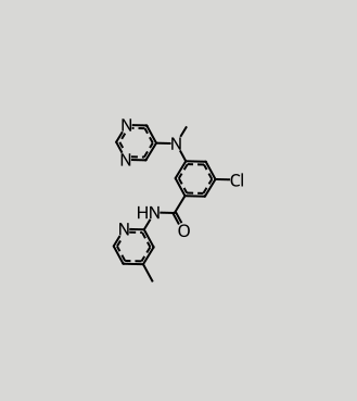 Cc1ccnc(NC(=O)c2cc(Cl)cc(N(C)c3cncnc3)c2)c1